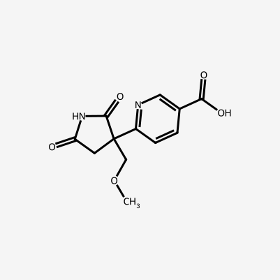 COCC1(c2ccc(C(=O)O)cn2)CC(=O)NC1=O